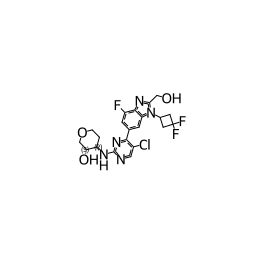 OCc1nc2c(F)cc(-c3nc(N[C@@H]4CCOC[C@H]4O)ncc3Cl)cc2n1C1CC(F)(F)C1